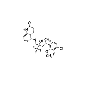 COc1c(C(C)CC(O)(/C=N/c2cccc3[nH]c(=O)ccc23)C(F)(F)F)ccc(Cl)c1F